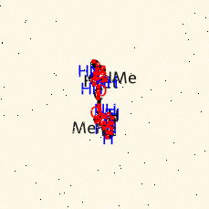 CC[C@H](NC)C(=O)N[C@@H]1C(=O)N2[C@@H](CC[C@@H]1CNC(=O)CCCCCCCNC(=O)[C@@H](NC(=O)[C@@H]1CC[C@@H]3CC[C@H](CNCc4ccccc4)[C@H](NC(=O)[C@H](CC)NC)C(=O)N31)c1ccccc1)CC[C@H]2C(=O)NC(c1ccccc1)c1ccccc1